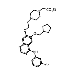 CCOC(=O)CN1CCN(CCOc2cc3ncnc(Nc4cccc(Br)c4)c3cc2OCC2CCCC2)CC1